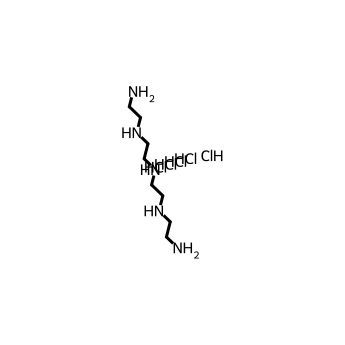 Cl.Cl.Cl.Cl.Cl.NCCNCCNCCNCCN